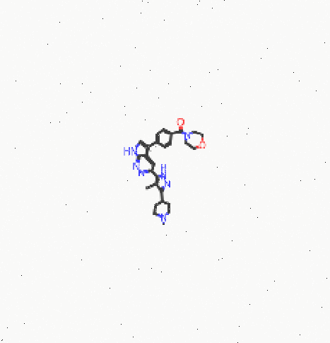 Cc1c(C2CCN(C)CC2)n[nH]c1-c1cc2c(-c3ccc(C(=O)N4CCOCC4)cc3)c[nH]c2nn1